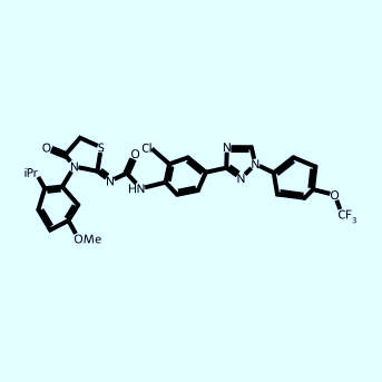 COc1ccc(C(C)C)c(N2C(=O)CSC2=NC(=O)Nc2ccc(-c3ncn(-c4ccc(OC(F)(F)F)cc4)n3)cc2Cl)c1